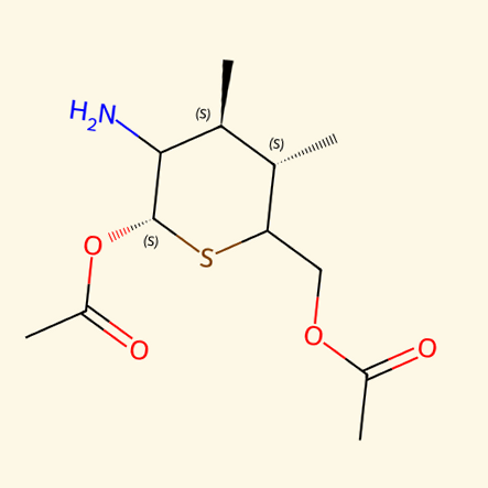 CC(=O)OCC1S[C@H](OC(C)=O)C(N)[C@@H](C)[C@@H]1C